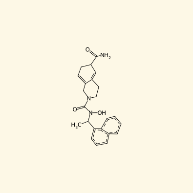 CC(c1cccc2ccccc12)N(O)C(=O)N1CCC2=CC(C(N)=O)CC=C2C1